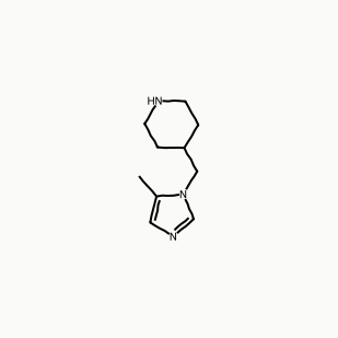 Cc1cncn1CC1CCNCC1